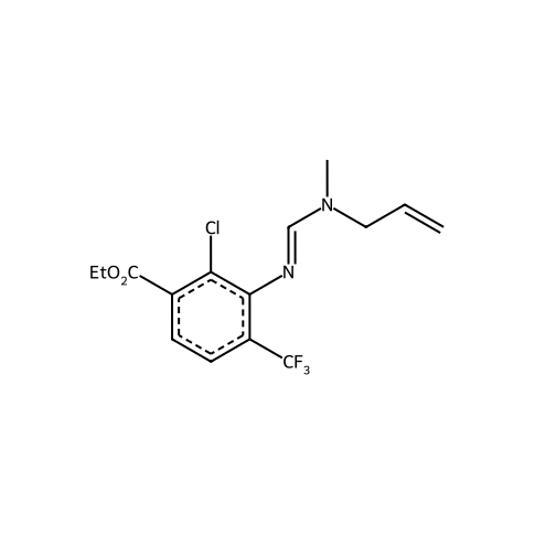 C=CCN(C)/C=N/c1c(C(F)(F)F)ccc(C(=O)OCC)c1Cl